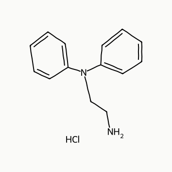 Cl.NCCN(c1ccccc1)c1ccccc1